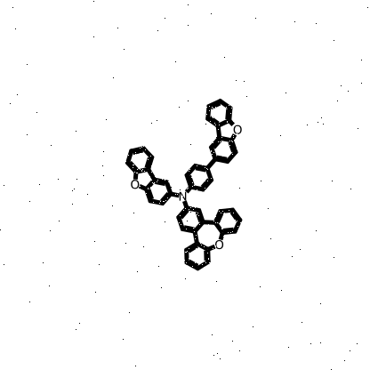 c1ccc2c(c1)Oc1ccccc1-c1cc(N(c3ccc(-c4ccc5oc6ccccc6c5c4)cc3)c3ccc4oc5ccccc5c4c3)ccc1-2